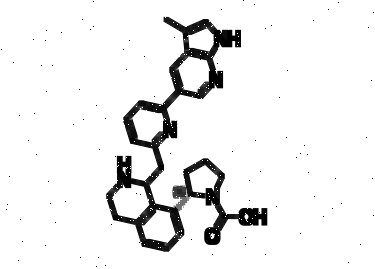 Cc1c[nH]c2ncc(-c3cccc(CC4NCCc5cccc([C@@H]6CCCN6C(=O)O)c54)n3)cc12